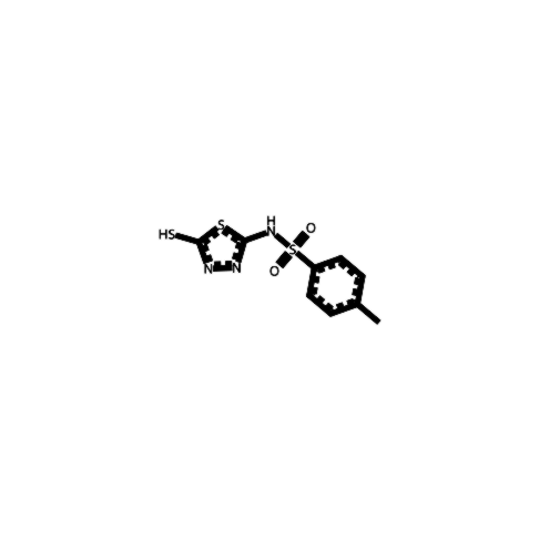 Cc1ccc(S(=O)(=O)Nc2nnc(S)s2)cc1